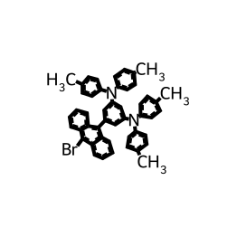 Cc1ccc(N(c2ccc(C)cc2)c2cc(-c3c4ccccc4c(Br)c4ccccc34)cc(N(c3ccc(C)cc3)c3ccc(C)cc3)c2)cc1